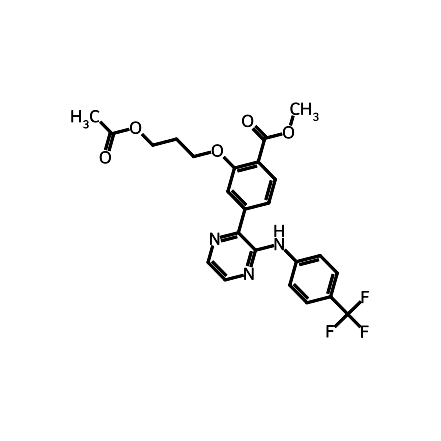 COC(=O)c1ccc(-c2nccnc2Nc2ccc(C(F)(F)F)cc2)cc1OCCCOC(C)=O